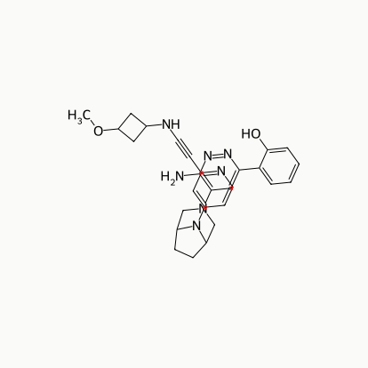 COC1CC(NC#Cc2cc(N3C4CCC3CN(c3cc(-c5ccccc5O)nnc3N)C4)ccn2)C1